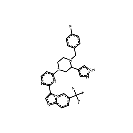 Fc1ccc(CN2CCN(c3ccnc(-c4cnc5ccc(C(F)(F)F)cn45)n3)CC2c2cn[nH]c2)cc1